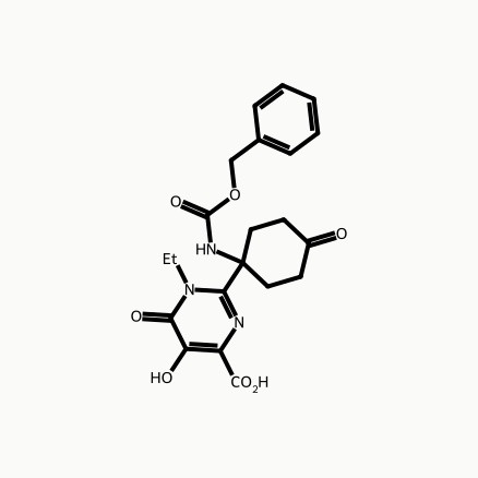 CCn1c(C2(NC(=O)OCc3ccccc3)CCC(=O)CC2)nc(C(=O)O)c(O)c1=O